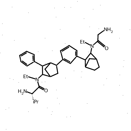 CCN(C(=O)CN)C1C2CCC(C2)C1c1cccc(C2CC3CC2C(c2ccccc2)C3N(CC)C(=O)[C@@H](N)C(C)C)c1